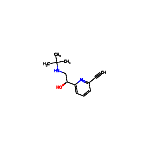 C#Cc1cccc([C@@H](O)CNC(C)(C)C)n1